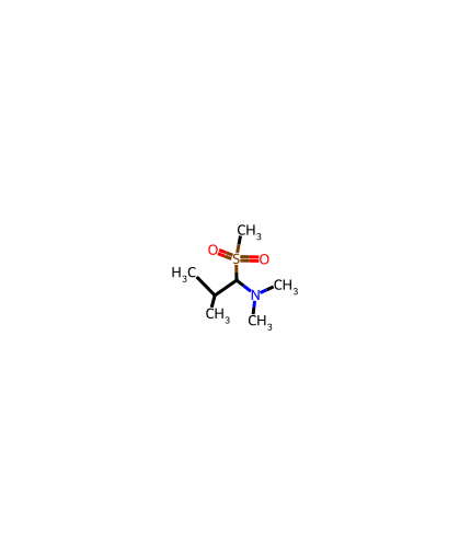 CC(C)C(N(C)C)S(C)(=O)=O